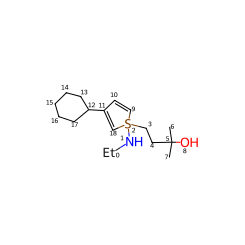 CCNS1(CCC(C)(C)O)C=CC(C2CCCCC2)=C1